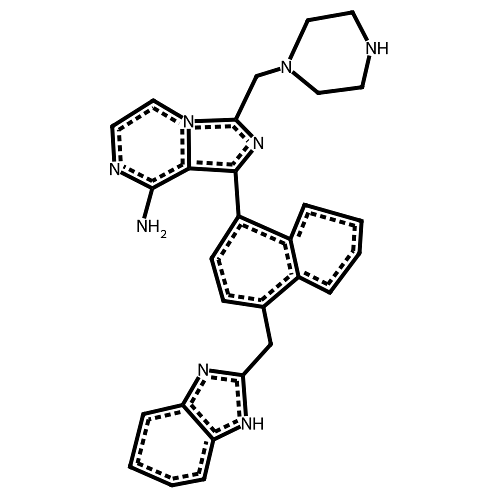 Nc1nccn2c(CN3CCNCC3)nc(-c3ccc(Cc4nc5ccccc5[nH]4)c4ccccc34)c12